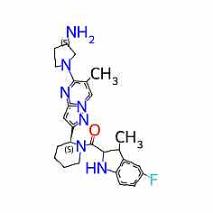 Cc1cn2nc([C@@H]3CCCCN3C(=O)C3Nc4ccc(F)cc4C3C)cc2nc1N1CC[C@H](N)C1